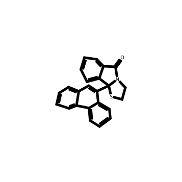 O=C1c2ccccc2C2(c3cc4ccccc4c4ccccc34)SCCN12